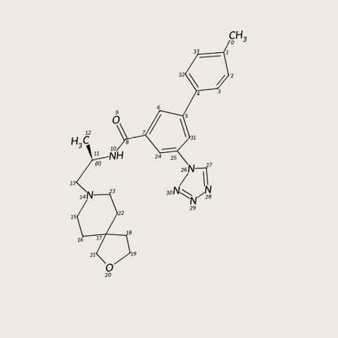 Cc1ccc(-c2cc(C(=O)N[C@H](C)CN3CCC4(CCOC4)CC3)cc(-n3cnnn3)c2)cc1